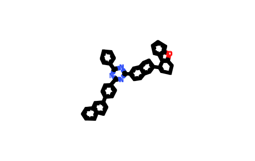 C1=C(c2ccc3cc(-c4nc(-c5ccccc5)nc(-c5ccc(-c6ccc7ccccc7c6)cc5)n4)ccc3c2)c2c(oc3ccccc23)CC1